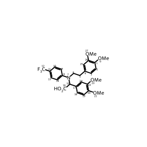 COc1ccc(CCN(c2ccc(C(F)(F)F)cc2)C(C(=O)O)c2ccc(OC)c(OC)c2)cc1OC